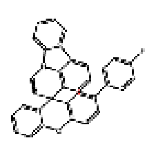 Fc1ccc(-c2ccc3c(c2)C2(c4ccccc4O3)c3ccccc3-n3c4ccccc4c4cccc2c43)cc1